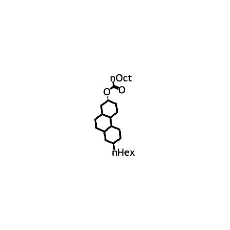 CCCCCCCCC(=O)O[C@@H]1CCC2C(CCC3C[C@H](CCCCCC)CCC32)C1